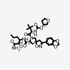 CCCC(NC(=O)[C@@H]1C[C@]2(CC(c3ccc4c(c3)OCO4)=NO2)CN1C(=O)[C@@H](NC(=O)O[C@H]1CCOC1)C(C)(C)C)C(O)C(N)=O